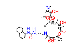 CC[C@H]1OC(=O)[C@H](C)[C@@H](O)[C@H](C)[C@@H](O[C@@H]2O[C@H](C)C[C@H](N(C)C)[C@H]2O)[C@](C)(O)C[C@@H](C)CN(CCCNC(=O)Nc2cccc3ccccc23)[C@H](C)[C@@H](O)[C@]1(C)O